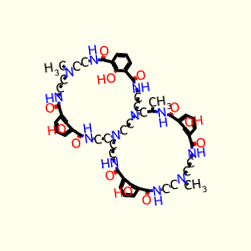 CC1CN2CCNC(=O)c3cccc(c3O)C(=O)NCCN(C)CCNC(=O)c3cccc(c3O)C(=O)NCCN(CCNC(=O)c3cccc(c3O)C(=O)NCCN(C)CCNC(=O)c3cccc(c3O)C(=O)N1)CC2